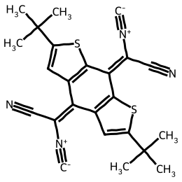 [C-]#[N+]C(C#N)=c1c2cc(C(C)(C)C)sc2c(=C(C#N)[N+]#[C-])c2sc(C(C)(C)C)cc12